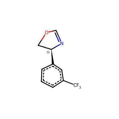 FC(F)(F)c1cccc([C@H]2COC=N2)c1